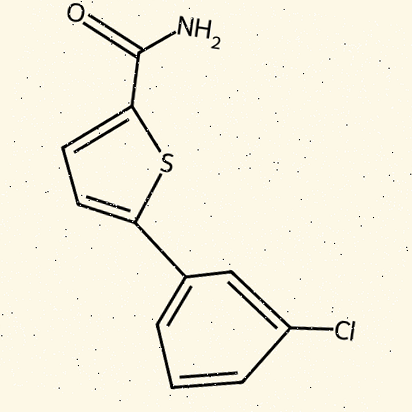 NC(=O)c1ccc(-c2cccc(Cl)c2)s1